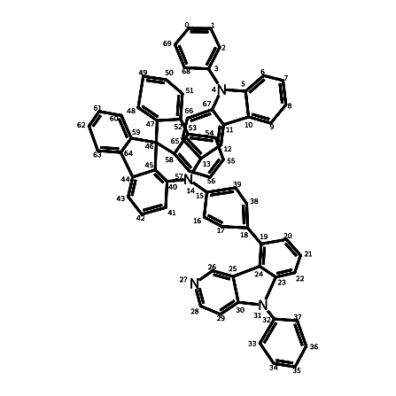 c1ccc(-n2c3ccccc3c3cc(N(c4ccc(-c5cccc6c5c5cnccc5n6-c5ccccc5)cc4)c4cccc5c4C4(c6ccccc6-c6ccccc64)c4ccccc4-5)ccc32)cc1